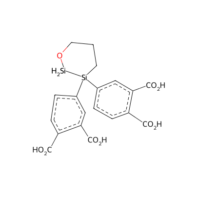 O=C(O)c1ccc([Si]2(c3ccc(C(=O)O)c(C(=O)O)c3)CCCO[SiH2]2)cc1C(=O)O